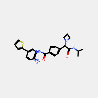 CC(C)NC(=O)C(c1ccc(C(=O)Nc2cc(-c3cccs3)ccc2N)cc1)N1CCC1